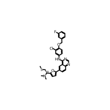 CSC[C@@H](c1ccc(-c2ccc3ncnc(Nc4ccc(OCc5cccc(F)c5)c(Cl)c4)c3c2)o1)N(C)C